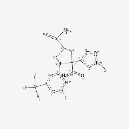 Cc1cc(C(F)(F)F)cc(N2CC(C(N)=O)CC2(C(N)=O)c2cnn(C)c2)n1